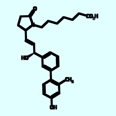 Cc1cc(O)ccc1-c1cccc([C@H](O)C=CC2CCC(=O)N2CCCCCCC(=O)O)c1